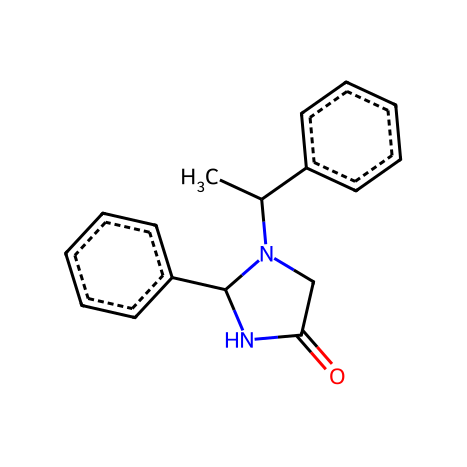 CC(c1ccccc1)N1CC(=O)NC1c1ccccc1